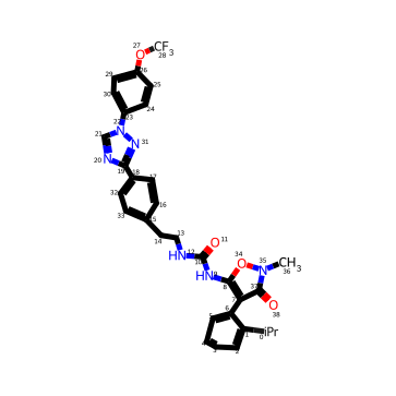 CC(C)c1ccccc1-c1c(NC(=O)NCCc2ccc(-c3ncn(-c4ccc(OC(F)(F)F)cc4)n3)cc2)on(C)c1=O